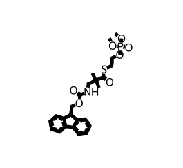 COP(=O)(OC)OCCSC(=O)C(C)(C)CNC(=O)OCC1c2ccccc2-c2ccccc21